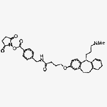 CNCCCC1C2=C(CCC=C2)CCc2cc(OCCCC(=O)NCc3ccc(C(=O)ON4C(=O)CCC4=O)cc3)ccc21